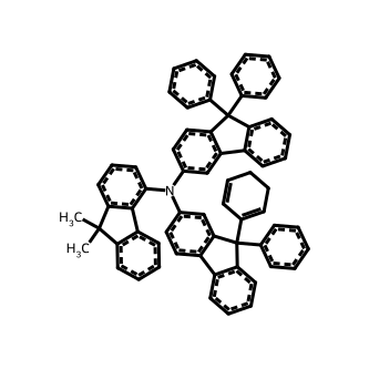 CC1(C)c2ccccc2-c2c(N(c3ccc4c(c3)-c3ccccc3C4(c3ccccc3)c3ccccc3)c3ccc4c(c3)C(C3=CCCC=C3)(c3ccccc3)c3ccccc3-4)cccc21